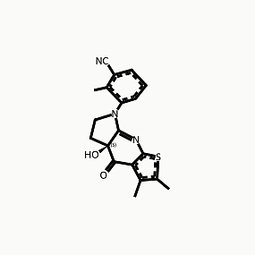 Cc1sc2c(c1C)C(=O)[C@]1(O)CCN(c3cccc(C#N)c3C)C1=N2